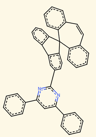 C1=Cc2ccccc2C2(c3ccccc31)c1ccccc1-c1cc(-c3nc(-c4ccccc4)cc(-c4ccccc4)n3)ccc12